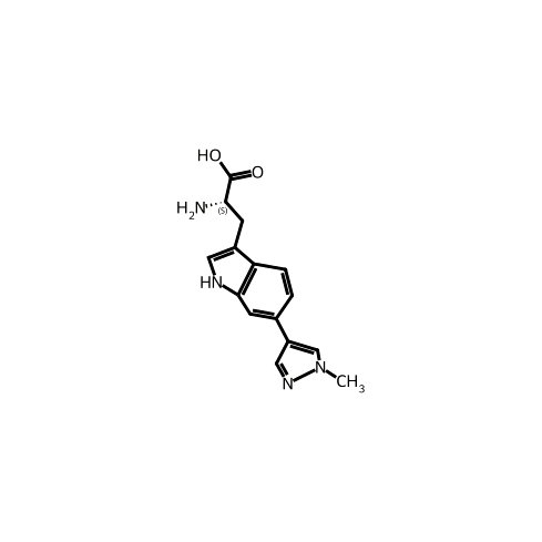 Cn1cc(-c2ccc3c(C[C@H](N)C(=O)O)c[nH]c3c2)cn1